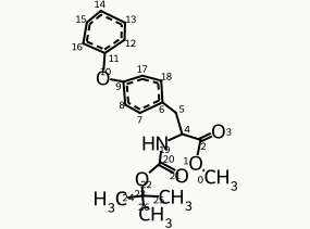 COC(=O)C(Cc1ccc(Oc2ccccc2)cc1)NC(=O)OC(C)(C)C